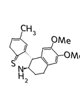 COc1cc2c(cc1OC)[C@@H](C1=CC(C)=CCC1=S)[C@H](N)CC2